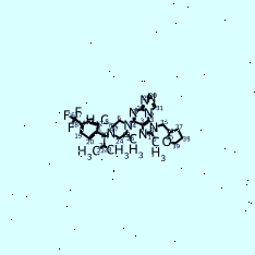 Cc1nc2c(N3C[C@@H](C)N([C@H](c4ccc(C(F)(F)F)cc4)C(C)C)C[C@@H]3C)nc3nncn3c2n1CC1CCCO1